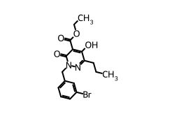 CCCc1nn(Cc2cccc(Br)c2)c(=O)c(C(=O)OCC)c1O